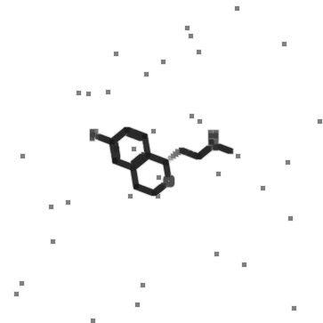 CNCC[C@@H]1OCCc2cc(F)ccc21